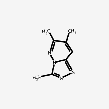 Cc1cc2nnc(N)n2nc1C